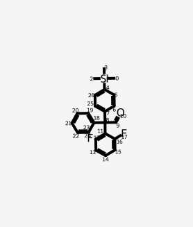 C[Si](C)(C)c1ccc(C(C=O)(c2ccccc2F)c2ccccc2F)cc1